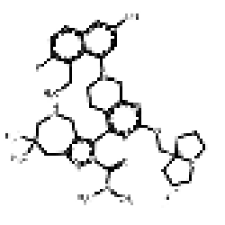 CCc1c(F)ccc2cc(O)cc(N3CCc4c(nc(OC[C@@]56CCCN5C[C@H](F)C6)nc4-c4c5c(nn4C(=O)N(C)C)CC(C)(C)CNC5)C3)c12